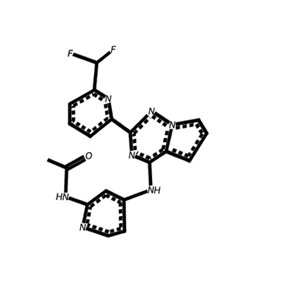 CC(=O)Nc1cc(Nc2nc(-c3cccc(C(F)F)n3)nn3cccc23)ccn1